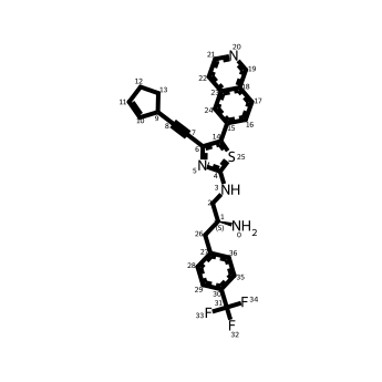 N[C@H](CNc1nc(C#CC2C=CCC2)c(-c2ccc3cnccc3c2)s1)Cc1ccc(C(F)(F)F)cc1